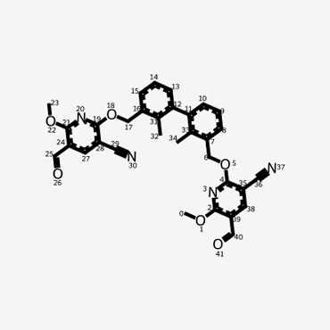 COc1nc(OCc2cccc(-c3cccc(COc4nc(OC)c(C=O)cc4C#N)c3C)c2C)c(C#N)cc1C=O